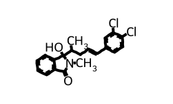 CC(CC=Cc1ccc(Cl)c(Cl)c1)C1(O)c2ccccc2C(=O)N1C